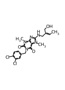 C/C=C(\CO)CNc1nc2c(c(=O)n(Cc3ccc(Cl)c(Cl)c3)c(=O)n2C)n1C